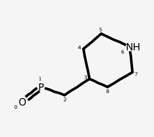 O=PCC1CCNCC1